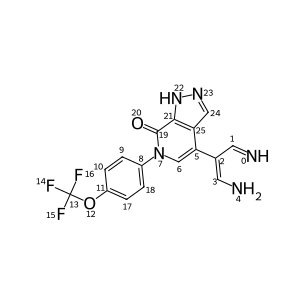 N=C/C(=C\N)c1cn(-c2ccc(OC(F)(F)F)cc2)c(=O)c2[nH]ncc12